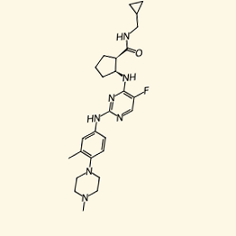 Cc1cc(Nc2ncc(F)c(N[C@H]3CCC[C@H]3C(=O)NCC3CC3)n2)ccc1N1CCN(C)CC1